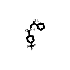 CC(CNC(=O)c1ccc(C(F)(F)F)cc1)c1ccccc1